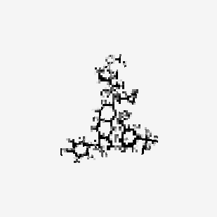 Cn1ncc(S(=O)(=O)N(C2CC2)[C@H]2CCC3=Cc4c(cnn4-c4ccc(F)cc4)C[C@]3(C(=O)c3cc(C(F)(F)F)ccn3)C2)n1